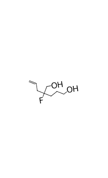 C=CCC(F)(CO)CCCO